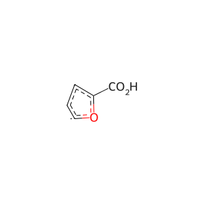 O=C(O)c1cc[c]o1